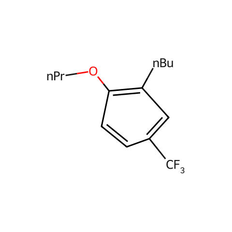 CCCCc1cc(C(F)(F)F)ccc1OCCC